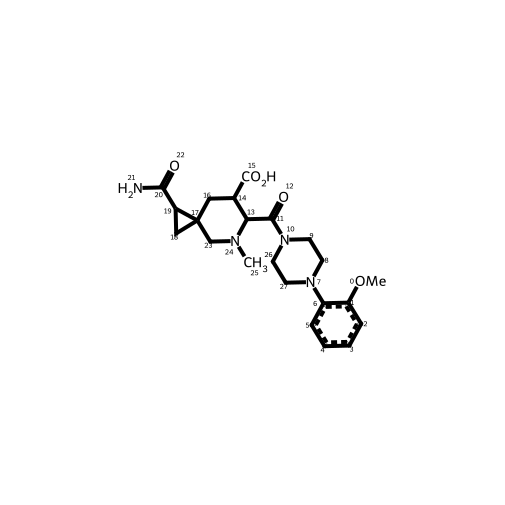 COc1ccccc1N1CCN(C(=O)C2C(C(=O)O)CC3(CC3C(N)=O)CN2C)CC1